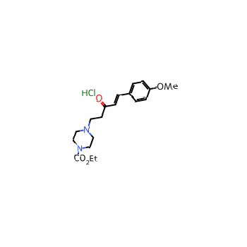 CCOC(=O)N1CCN(CCC(=O)C=Cc2ccc(OC)cc2)CC1.Cl